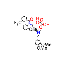 COc1ccc(CCN(C)CCCCN(C(=O)c2cccc(C(F)(F)F)c2)c2ccccc2OCC(C)C)cc1OC.O=C(O)C(=O)O